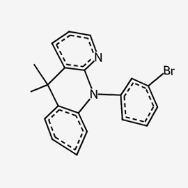 CC1(C)c2ccccc2N(c2cccc(Br)c2)c2ncccc21